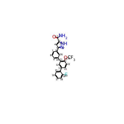 NC(=O)c1cc(-c2cccc(-c3cc(-c4ccccc4F)ccc3OC(F)(F)F)c2)n[nH]1